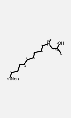 CCCCCCCCCCCCCCCCCCN(C)CC(C)O